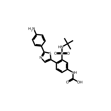 CC(C)(C)NS(=O)(=O)c1cc(NC(=O)O)ccc1-c1cnc(-c2ccc(N)cc2)s1